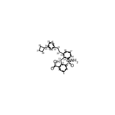 NS(=O)(=O)c1cccc(C(=O)O)c1Cc1ccccc1CCc1nc(C2CCC2)cs1